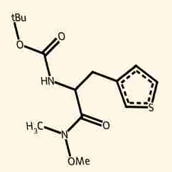 CON(C)C(=O)C(Cc1ccsc1)NC(=O)OC(C)(C)C